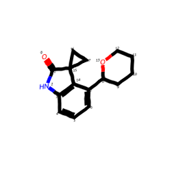 O=C1Nc2cccc(C3CCCCO3)c2C12CC2